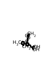 C=CC(=O)OCCOc1cc(CCC(CO)CO)ccc1-c1ccc(C)cc1C